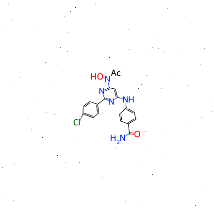 CC(=O)N(O)c1cc(Nc2ccc(C(N)=O)cc2)nc(-c2ccc(Cl)cc2)n1